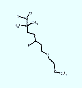 COCCOCCC(F)CCC(C)(C)N(Cl)Cl